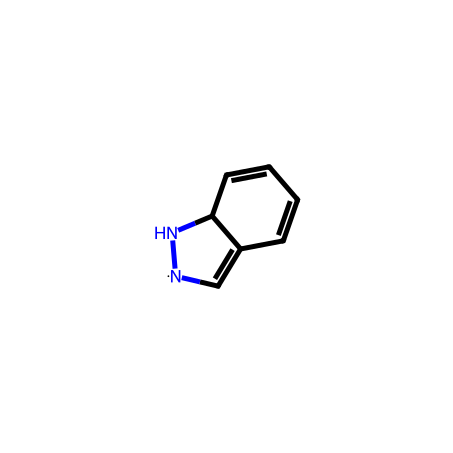 C1=CC2=C[N]NC2C=C1